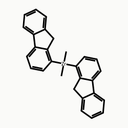 [CH3][Zr]([CH3])([c]1cccc2c1Cc1ccccc1-2)[c]1cccc2c1Cc1ccccc1-2